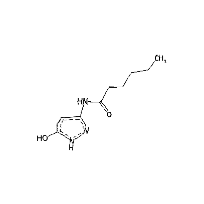 CCCCCC(=O)Nc1cc(O)[nH]n1